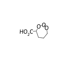 O=C(O)C1CCCOOO1